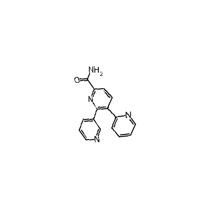 NC(=O)c1ccc(-c2ccccn2)c(-c2cccnc2)n1